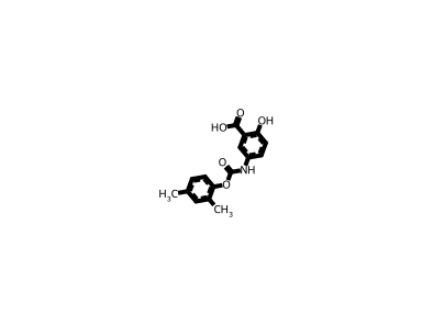 Cc1ccc(OC(=O)Nc2ccc(O)c(C(=O)O)c2)c(C)c1